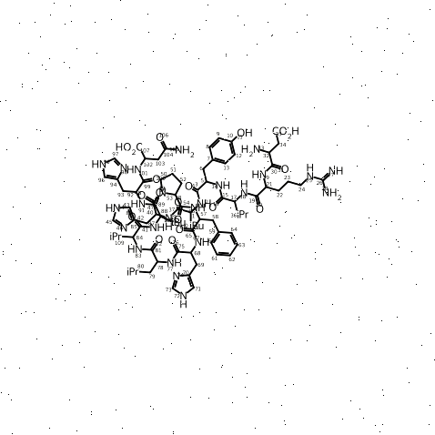 CCC(C)C(NC(=O)C(Cc1ccc(O)cc1)NC(=O)C(NC(=O)C(CCCNC(=N)N)NC(=O)C(N)CC(=O)O)C(C)C)C(=O)NC(Cc1c[nH]cn1)C(=O)N1CCCC1C(=O)NC(Cc1ccccc1)C(=O)NC(Cc1c[nH]cn1)C(=O)NC(CC(C)C)C(=O)NC(C(=O)NC(C(=O)NC(Cc1c[nH]cn1)C(=O)NC(CC(N)=O)C(=O)O)C(C)CC)C(C)C